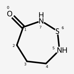 O=C1CCCNSN1